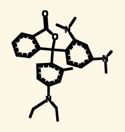 CCN(CC)c1ccc(C2(c3ccc(N(C)C)cc3N(C)C)OC(=O)c3ccccc32)c(C)c1